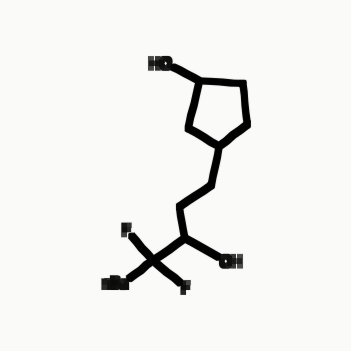 CCCCC(F)(F)C(O)CCC1CCC(O)C1